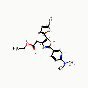 CCOC(=O)Cc1nc(-c2ccc(N(C)C)nc2)sc1-c1ccc(Cl)s1